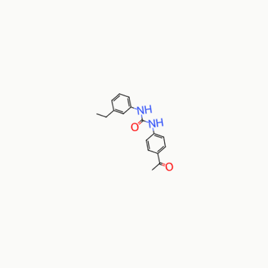 CCc1cccc(NC(=O)Nc2ccc(C(C)=O)cc2)c1